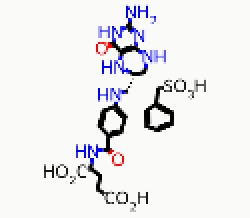 Nc1nc2c(c(=O)[nH]1)N[C@@H](CNc1ccc(C(=O)NC(CCC(=O)O)C(=O)O)cc1)CN2.O=S(=O)(O)Cc1ccccc1